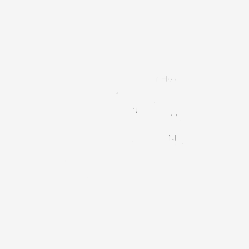 CCCCCCC(=O)N1CCc2ccccc2[C@H]1CN